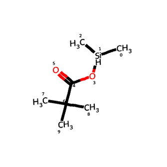 C[SiH](C)OC(=O)C(C)(C)C